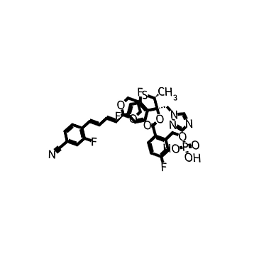 C[C@@H](S[C@H]1CO[C@H](/C=C/C=C/c2ccc(C#N)cc2F)OC1)[C@@](Cn1cncn1)(OC(=O)c1ccc(F)cc1COP(=O)(O)O)c1ccc(F)cc1F